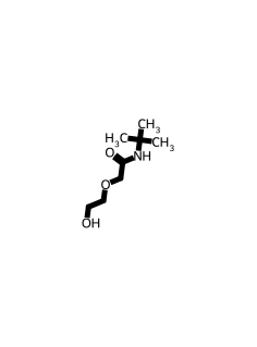 CC(C)(C)NC(=O)COCCO